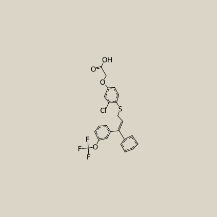 O=C(O)COc1ccc(SC/C=C(/c2ccccc2)c2cccc(OC(F)(F)F)c2)c(Cl)c1